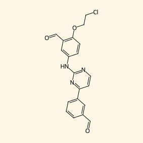 O=Cc1cccc(-c2ccnc(Nc3ccc(OCCCl)c(C=O)c3)n2)c1